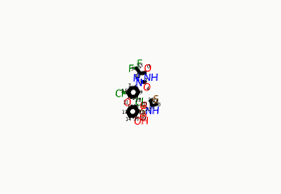 O=c1[nH]c(=O)n(-c2cc(Cl)c(Oc3ccc(O)c(S(=O)(=O)NC4CSC4)c3)c(Cl)c2)nc1C(F)F